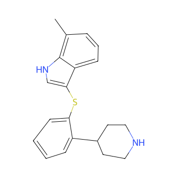 Cc1cccc2c(Sc3ccccc3C3CCNCC3)c[nH]c12